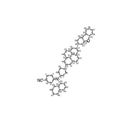 N#Cc1ccc(N(c2ccc(-c3cc4ccc5cc(-c6ccc7c(c6)oc6ccccc67)cc6ccc(c3)c4c56)cc2)c2cccc3ccccc23)cc1